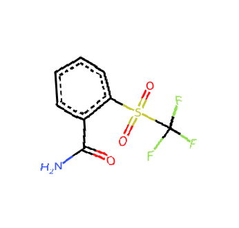 NC(=O)c1ccccc1S(=O)(=O)C(F)(F)F